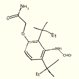 CCC(C)(C)c1ccc(OCC(N)=O)c(C(C)(C)CC)c1N[C]=O